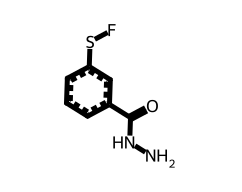 NNC(=O)c1cccc(SF)c1